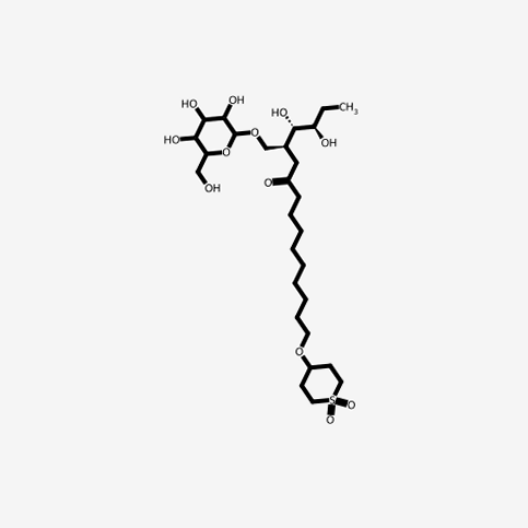 CC[C@@H](O)[C@@H](O)[C@H](COC1OC(CO)C(O)C(O)C1O)CC(=O)CCCCCCCCCOC1CCS(=O)(=O)CC1